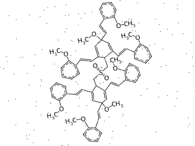 COc1ccccc1/C=C/C1=CC(/C=C/c2ccccc2OC)(OC)C=C(/C=C/c2ccccc2OC)C1CS(=O)(=O)CC1C(/C=C/c2ccccc2OC)=CC(/C=C/c2ccccc2OC)(OC)C=C1/C=C/c1ccccc1OC